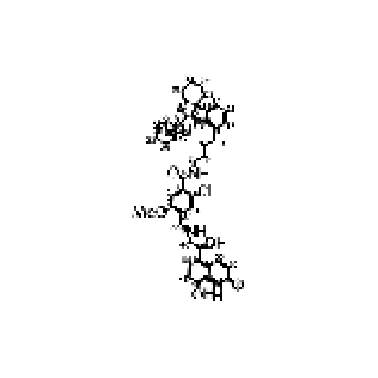 COc1cc(C(=O)NCCCCc2cccc(C3(C(=O)O[C@H]4CN5CCC4CC5)CCCCC3)c2)c(Cl)cc1CNCC(O)c1ccc(O)c2[nH]c(=O)ccc12